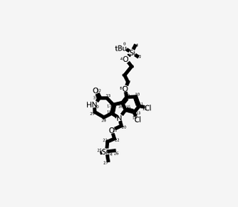 CC(C)(C)[Si](C)(C)OCCCOc1cc(Cl)c(Cl)c2c1c1c(n2COCC[Si](C)(C)C)CCNC(=O)C1